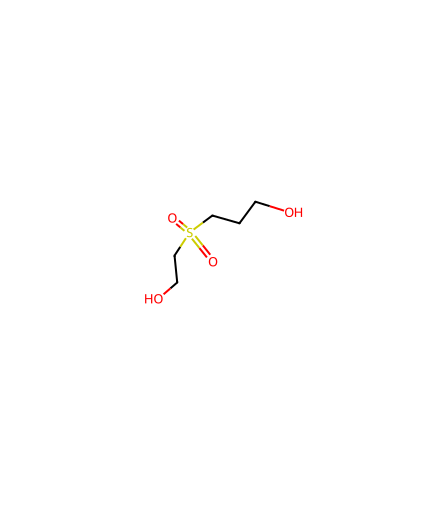 O=S(=O)(CCO)CCCO